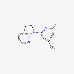 Cc1cc(C(F)(F)F)cc(N2CCc3cccnc32)n1